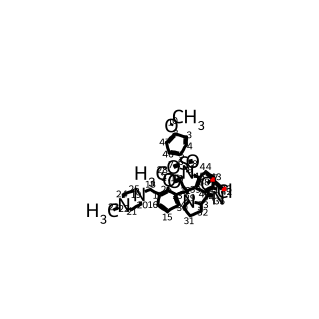 COc1ccc(S(=O)(=O)N2C(=O)C(c3cccc(CN4CCN(C)CC4)c3OC)(N3CCCC3c3ncco3)c3cc(Cl)ccc32)cc1